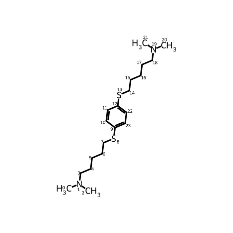 CN(C)CCCCCSc1ccc(SCCCCCN(C)C)cc1